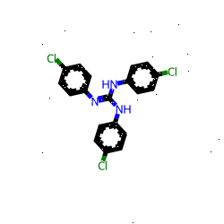 Clc1ccc(N=C(Nc2ccc(Cl)cc2)Nc2ccc(Cl)cc2)cc1